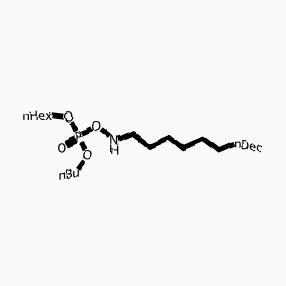 CCCCCCCCCCCCCCCCNOP(=O)(OCCCC)OCCCCCC